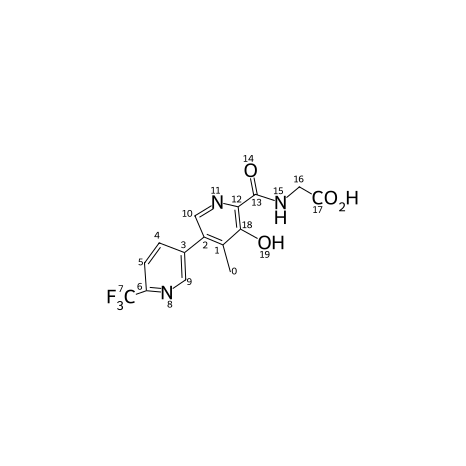 Cc1c(-c2ccc(C(F)(F)F)nc2)cnc(C(=O)NCC(=O)O)c1O